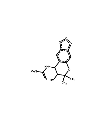 CNC(=O)NC1c2cc3nonc3cc2OC(C)(C)C1O